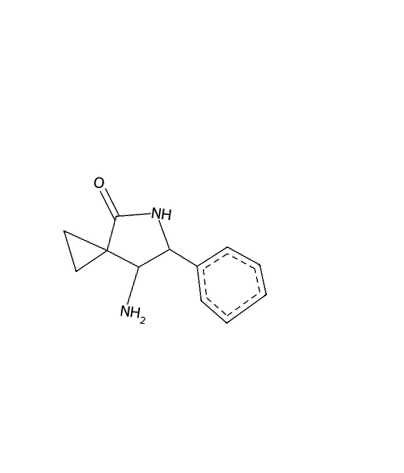 NC1C(c2ccccc2)NC(=O)C12CC2